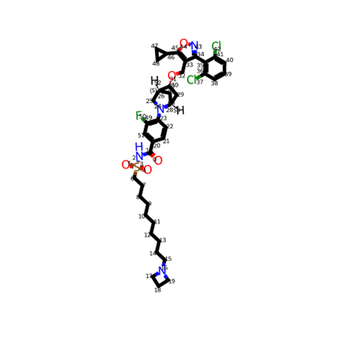 O=C(NS(=O)(=O)CCCCCCCCCCN1CCC1)c1ccc(N2C[C@@H]3C[C@H]2C[C@H]3OCc2c(-c3c(Cl)cccc3Cl)noc2C2CC2)c(F)c1